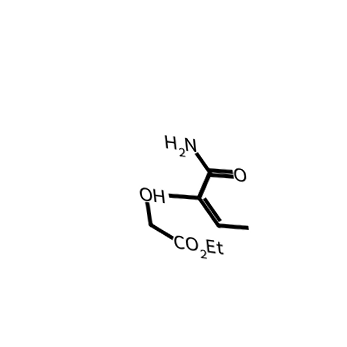 CC=C(C)C(N)=O.CCOC(=O)CO